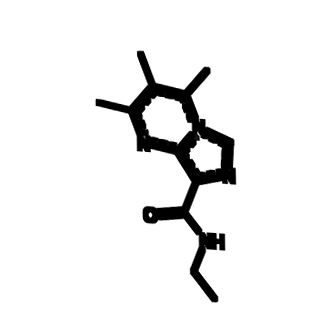 CCNC(=O)c1ncn2c(C)c(C)c(C)nc12